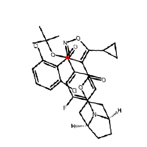 CC(C)(C)OC(=O)c1ccc(N2[C@@H]3CC[C@H]2CC(OC(=O)c2c(-c4c(Cl)cccc4Cl)noc2C2CC2)C3)c(F)c1